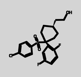 O=S(=O)(c1ccc(Cl)cc1)[C@]1(c2cc(F)ccc2F)CC[C@H](CCO)CC1